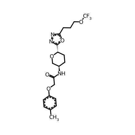 Cc1ccc(OCC(=O)N[C@@H]2CC[C@@H](c3nnc(CCCOC(F)(F)F)o3)OC2)cc1